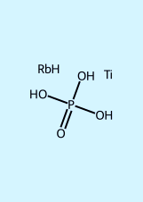 O=P(O)(O)O.[RbH].[Ti]